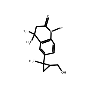 CC(C)N1C(=O)CC(C)(C)c2cc(C3(C)CC3CO)ccc21